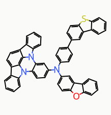 c1ccc2c(c1)oc1ccc(N(c3ccc(-c4ccc5sc6ccccc6c5c4)cc3)c3ccc4c(c3)n3c5ccccc5c5ccc6c7ccccc7n4c6c53)cc12